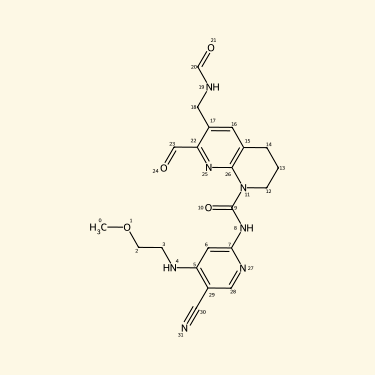 COCCNc1cc(NC(=O)N2CCCc3cc(CNC=O)c(C=O)nc32)ncc1C#N